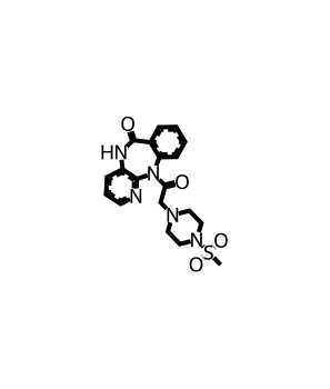 CS(=O)(=O)N1CCN(CC(=O)N2c3ccccc3C(=O)Nc3cccnc32)CC1